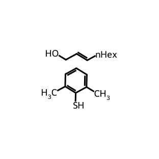 CCCCCCC=CCO.Cc1cccc(C)c1S